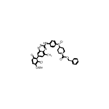 COc1ccc(Cl)c(-c2cc(C)c3nc(Nc4ccc([S+]([O-])C5CCN(C(=O)OCc6ccccc6)CC5)cc4)nnc3c2)c1Cl